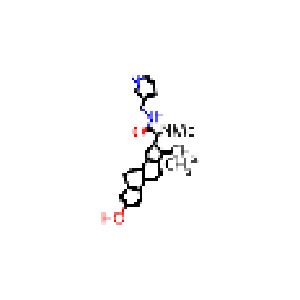 C=C1/C(=C(\NC)C(=O)NCc2cccnc2)CC2C3CCc4cc(O)ccc4C3CC[C@]12C